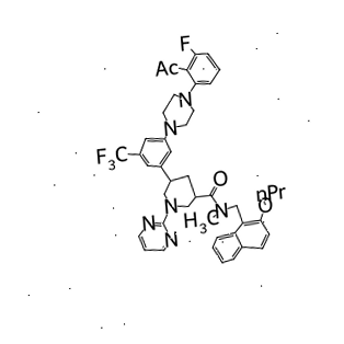 CCCOc1ccc2ccccc2c1CN(C)C(=O)C1CC(c2cc(N3CCN(c4cccc(F)c4C(C)=O)CC3)cc(C(F)(F)F)c2)CN(c2ncccn2)C1